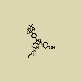 CCCCNc1ncc2c(-c3ccc(S(=O)(=O)N(C)C(C)(C)C)cc3)nn(C3CCC(O)CC3)c2n1